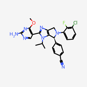 COc1nc(N)ncc1-c1nc2c(n1C(C)C)[C@H](c1ccc(C#N)cc1)N(c1cccc(Cl)c1F)C2